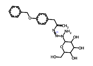 C=C(Cc1ccc(OCc2ccccc2)cc1)/N=N\N(N)C1OC(CO)C(O)C(O)C1O